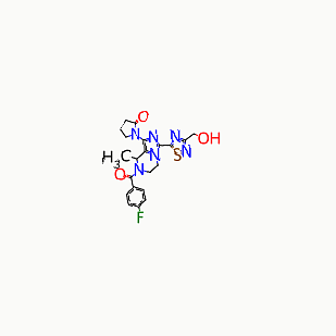 CC1c2c(N3CCCC3=O)nc(-c3nc(CO)ns3)n2CCN1C(=O)c1ccc(F)cc1